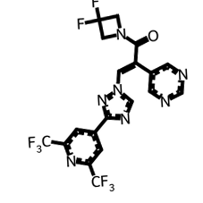 O=C(/C(=C/n1cnc(-c2cc(C(F)(F)F)nc(C(F)(F)F)c2)n1)c1cncnc1)N1CC(F)(F)C1